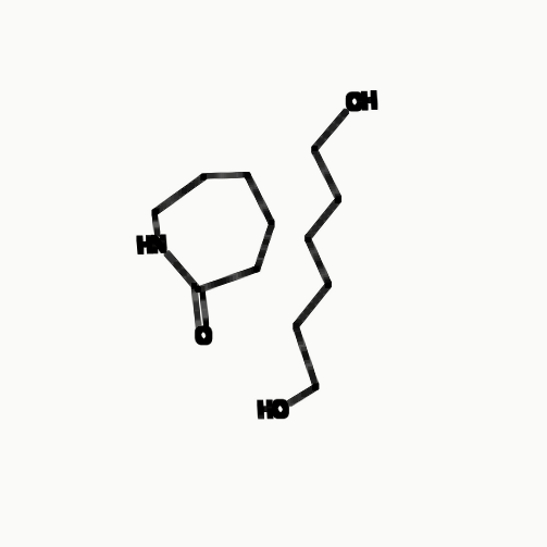 O=C1CCCCCN1.OCCCCCCO